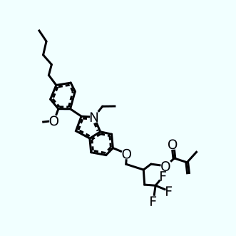 C=C(C)C(=O)OCC(COc1ccc2cc(-c3ccc(CCCCC)cc3OC)n(CC)c2c1)CC(F)(F)F